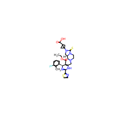 CCOC(=O)C1=C(CN2CCN3C(=S)N(C45CC(C(=O)O)(C4)C5)C[C@@H]3C2)NC(c2nccs2)=N[C@H]1c1cccc(F)c1C